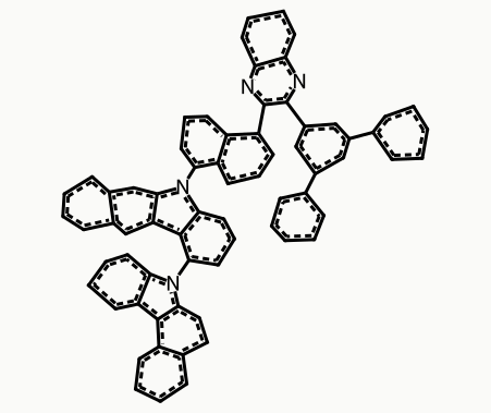 c1ccc(-c2cc(-c3ccccc3)cc(-c3nc4ccccc4nc3-c3cccc4c(-n5c6cc7ccccc7cc6c6c(-n7c8ccccc8c8c9ccccc9ccc87)cccc65)cccc34)c2)cc1